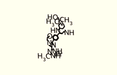 CC(=N)/N=C(\NC(C)C)c1cn2c(n1)-c1ccc(/C(=C/C=N)NC3CCCN(C(C)(C)CO)C3)cc1OCC2